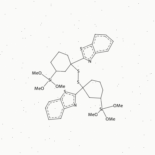 CO[Si](OC)(OC)C1CCCC(SSC2(c3nc4ccccc4s3)CCCC([Si](OC)(OC)OC)C2)(c2nc3ccccc3s2)C1